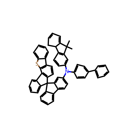 CC1(C)C2=CC=CCC2c2ccc(N(c3ccc(-c4ccccc4)cc3)c3ccc4c(c3)C3(c5ccccc5-4)c4ccccc4-c4c3ccc3c4sc4ccccc43)cc21